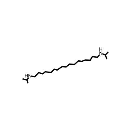 CC(C)NCCCCCCCCCCCCCCCCCNC(C)C